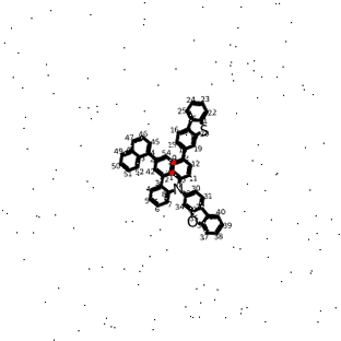 c1cc(-c2ccccc2N(c2ccc(-c3ccc4c(c3)sc3ccccc34)cc2)c2ccc3c(c2)oc2ccccc23)cc(-c2cccc3ccccc23)c1